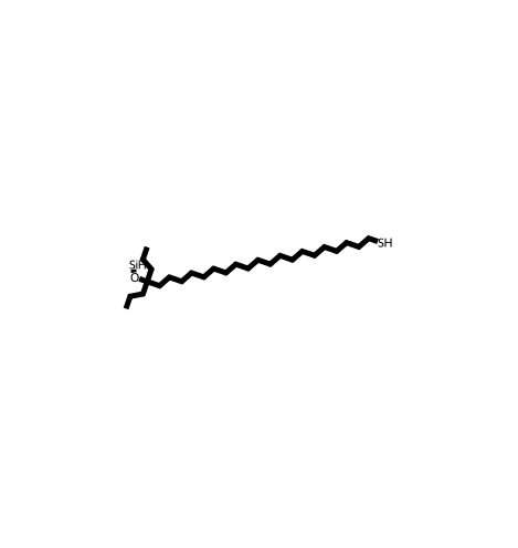 CCCC(CCC)(CCCCCCCCCCCCCCCCCCCCS)O[SiH3]